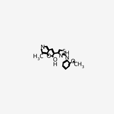 COc1ccccc1Nc1nc(C2=Cc3cncc(C)c3OC2O)cs1